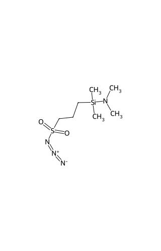 CN(C)[Si](C)(C)CCCS(=O)(=O)N=[N+]=[N-]